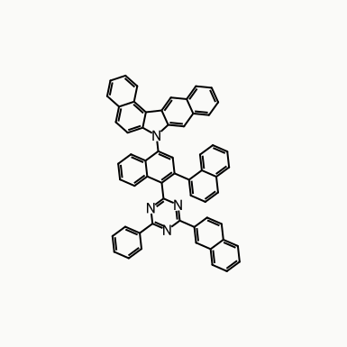 c1ccc(-c2nc(-c3ccc4ccccc4c3)nc(-c3c(-c4cccc5ccccc45)cc(-n4c5cc6ccccc6cc5c5c6ccccc6ccc54)c4ccccc34)n2)cc1